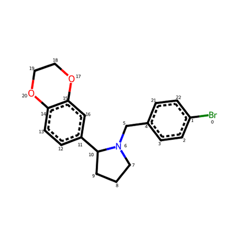 Brc1ccc(CN2CCCC2c2ccc3c(c2)OCCO3)cc1